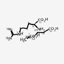 CC(=O)O.N=C(N)NCCC[C@H](N)C(=O)O.O=C(O)CCC(=O)O